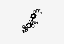 C=CS(=O)(=O)N1CCC2(CC1)N=C(c1ccc(OC(F)(F)F)cc1)NC2=O